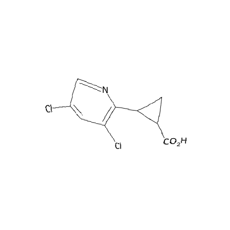 O=C(O)C1CC1c1ncc(Cl)cc1Cl